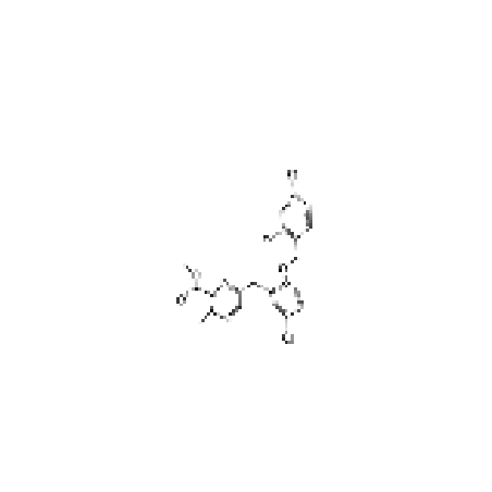 COC(=O)c1nc(Cc2cc(Cl)ccc2OCc2ccc(Cl)cc2F)ccc1C